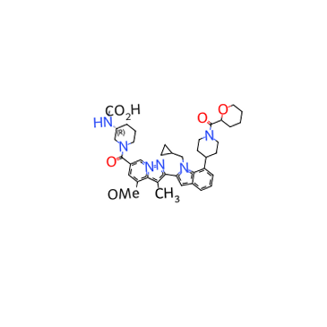 COc1cc(C(=O)N2CCC[C@@H](NC(=O)O)C2)cn2nc(-c3cc4cccc(C5CCN(C(=O)C6CCCCO6)CC5)c4n3CC3CC3)c(C)c12